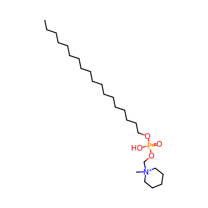 CCCCCCCCCCCCCCCCCCOP(=O)(O)OC[N+]1(C)CCCCC1